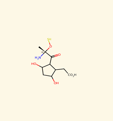 C[C@@](N)(OS)C(=O)C1C(O)CC(O)C1CC(=O)O